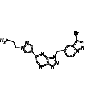 PCCn1cc(-c2cnc3nnn(Cc4ccn5ncc(Br)c5c4)c3n2)cn1